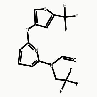 O=CN(CC(F)(F)F)c1cccc(Oc2csc(C(F)(F)F)c2)n1